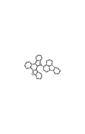 c1ccc2c(c1)-c1cccc3c(-n4c5ccccc5c5c6ccccc6c6oc7ccccc7c6c54)ccc-2c13